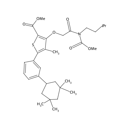 COC(=O)c1sc(-c2cccc(C3CC(C)(C)CC(C)(C)C3)c2)c(C)c1OCC(=O)N(CCC(C)C)C(=O)OC